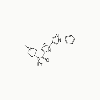 CC(C)N(C(=O)c1csc(-c2cnn(-c3ccccc3)c2)n1)C1CCN(C)CC1